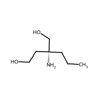 CCC[C@](N)(CO)CCO